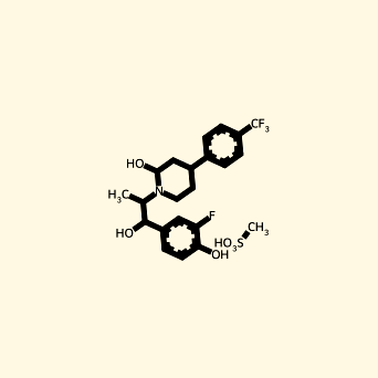 CC(C(O)c1ccc(O)c(F)c1)N1CCC(c2ccc(C(F)(F)F)cc2)CC1O.CS(=O)(=O)O